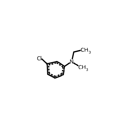 CCN(C)c1cccc(Cl)c1